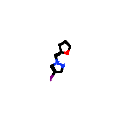 Ic1cnn(CC2CCCO2)c1